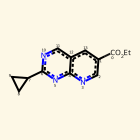 CCOC(=O)c1cnc2nc(C3CC3)ncc2c1